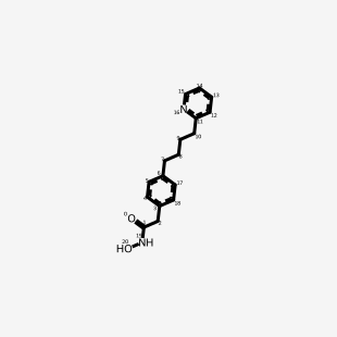 O=C(Cc1ccc(CCCCc2ccccn2)cc1)NO